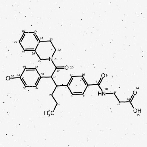 CCCC(c1ccc(C(=O)NCCC(=O)O)cc1)C(C(=O)N1CCc2ccccc2C1)c1ccc(Cl)cc1